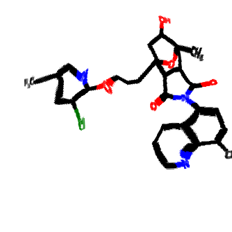 CC12OC(CCOc3ncc(C(F)(F)F)cc3Cl)(CC1O)C1C(=O)N(c3ccc(C#N)c4ncccc34)C(=O)C12